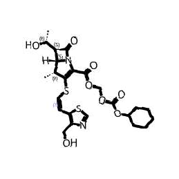 C[C@@H](O)[C@H]1C(=O)N2C(C(=O)OCOC(=O)OC3CCCCC3)=C(S/C=C\c3scnc3CO)[C@H](C)[C@H]12